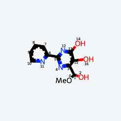 COC(O)c1nc(-c2ccccn2)nc(O)c1O